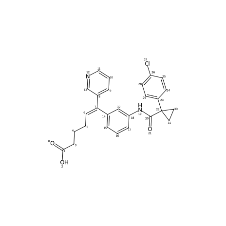 O=C(O)CCCC=C(c1cccnc1)c1cccc(NC(=O)C2(c3ccc(Cl)cc3)CC2)c1